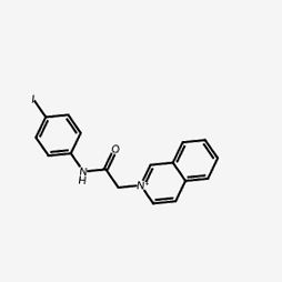 O=C(C[n+]1ccc2ccccc2c1)Nc1ccc(I)cc1